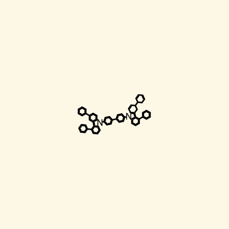 C1=CCC(C2C=Cc3c(c4c(-c5ccccc5)cccc4n3-c3ccc(-c4ccc(-n5c6ccc(-c7ccccc7)cc6c6c(-c7ccccc7)cccc65)cc4)cc3)C2)C=C1